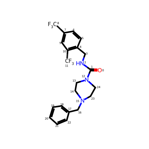 O=C(NCc1ccc(C(F)(F)F)cc1C(F)(F)F)N1CCN(Cc2ccccc2)CC1